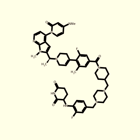 CNc1ccn(-c2ccnc3c2cc([C@H](C)N2CC=C(c4c(C)cc(C(=O)N5CCC(CN6CCN(Cc7ccc(NC8CCC(=O)NC8=O)c(F)c7)CC6)CC5)cc4F)CC2)n3C)c(=O)c1